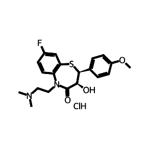 COc1ccc([C@@H]2Sc3cc(F)ccc3N(CCN(C)C)C(=O)[C@@H]2O)cc1.Cl